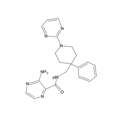 Nc1nccnc1C(=O)NCC1(c2ccccc2)CCN(c2ncccn2)CC1